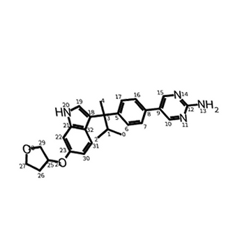 CC(C)C(C)(c1ccc(-c2cnc(N)nc2)cc1)c1c[nH]c2cc(OC3CCOC3)ccc12